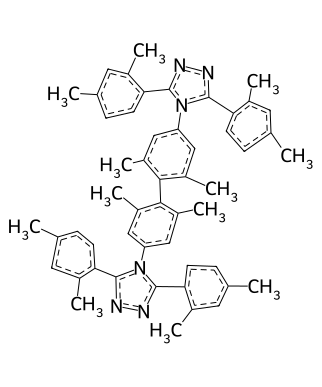 Cc1ccc(-c2nnc(-c3ccc(C)cc3C)n2-c2cc(C)c(-c3c(C)cc(-n4c(-c5ccc(C)cc5C)nnc4-c4ccc(C)cc4C)cc3C)c(C)c2)c(C)c1